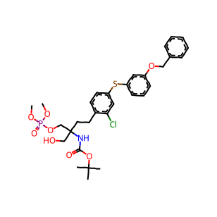 COP(=O)(OC)OCC(CO)(CCc1ccc(Sc2cccc(OCc3ccccc3)c2)cc1Cl)NC(=O)OC(C)(C)C